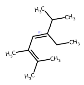 CC/C(=C\C(C)=C(C)C)C(C)C